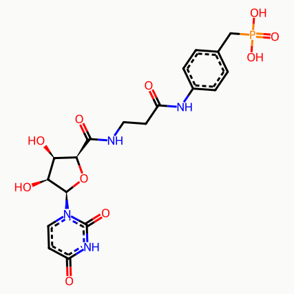 O=C(CCNC(=O)[C@H]1O[C@@H](n2ccc(=O)[nH]c2=O)[C@@H](O)[C@H]1O)Nc1ccc(CP(=O)(O)O)cc1